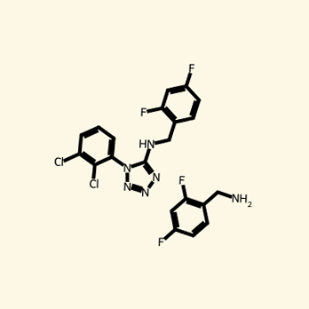 Fc1ccc(CNc2nnnn2-c2cccc(Cl)c2Cl)c(F)c1.NCc1ccc(F)cc1F